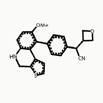 COc1ccc2c(c1-c1ccc(C(C#N)C3COC3)cc1)-c1ccsc1CN2